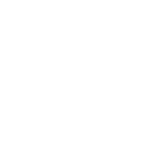 Cc1ccc(S2(c3ccc(C)cc3)c3ccccc3-c3ccc(-c4ccc(B5OC(C)(C)C(C)(C)O5)cc4)cc32)cc1